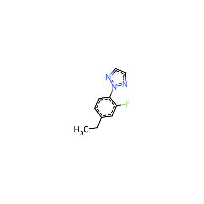 CCc1ccc(-n2nccn2)c(F)c1